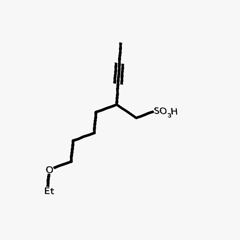 CC#CC(CCCCOCC)CS(=O)(=O)O